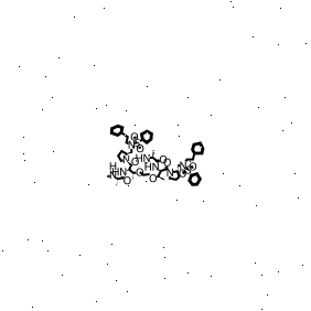 CN[C@@H](C)C(=O)N[C@H](C(=O)N1CCC[C@H]1CN(CCc1ccccc1)S(=O)(=O)c1ccccc1)[C@@H](C)OCCO[C@H](C)[C@H](NC(=O)[C@H](C)NC)C(=O)N1CCC[C@H]1CN(CCc1ccccc1)S(=O)(=O)c1ccccc1